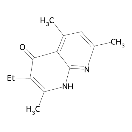 CCc1c(C)[nH]c2nc(C)cc(C)c2c1=O